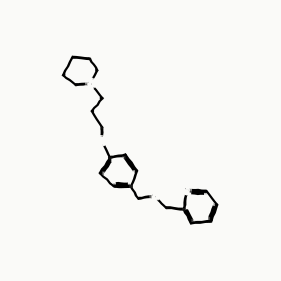 c1ccc(CNCc2ccc(OCCCN3CCCCC3)cc2)nc1